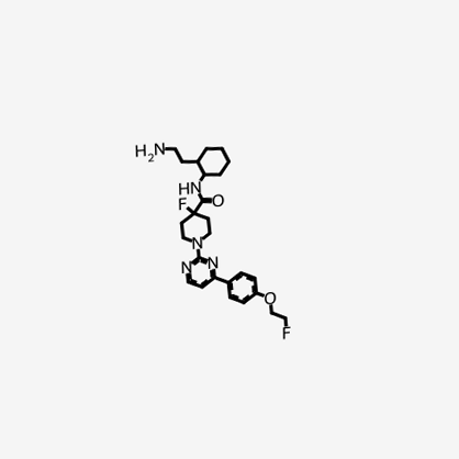 NCCC1CCCCC1NC(=O)C1(F)CCN(c2nccc(-c3ccc(OCCF)cc3)n2)CC1